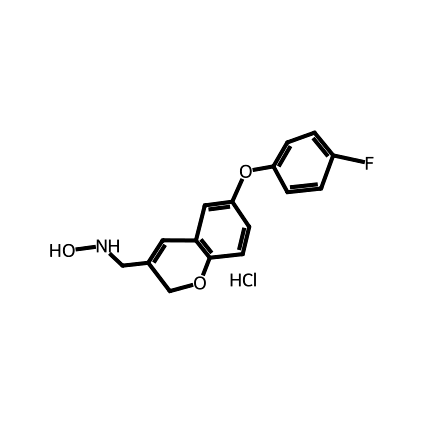 Cl.ONCC1=Cc2cc(Oc3ccc(F)cc3)ccc2OC1